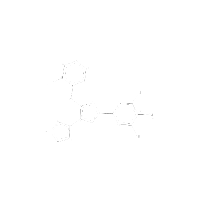 Nc1nc(-c2cc(-c3ccon3)n(Cc3ccccc3F)n2)nc(N)c1N